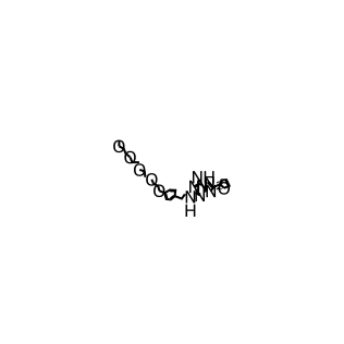 COCCOCCOCCOCCOc1ccc(CCNc2nc(N)n3nc(-c4ccco4)nc3n2)cc1